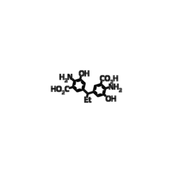 CCC(c1cc(O)c(N)c(C(=O)O)c1)c1cc(O)c(N)c(C(=O)O)c1